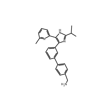 Cc1cccc(-c2[nH]c(C(C)C)nc2-c2cccc(-c3ccc(CN)cc3)c2)n1